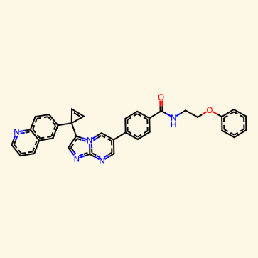 O=C(NCCOc1ccccc1)c1ccc(-c2cnc3ncc(C4(c5ccc6ncccc6c5)C=C4)n3c2)cc1